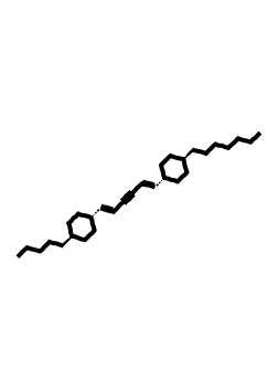 CCCCCCC[C@H]1CC[C@H](/C=C/C#C/C=C/[C@H]2CC[C@H](CCCCC)CC2)CC1